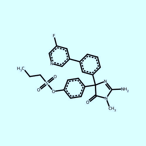 CCCS(=O)(=O)Oc1ccc(C2(c3cccc(-c4cncc(F)c4)c3)N=C(N)N(C)C2=O)cc1